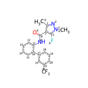 Cc1nn(C)c(F)c1C(=O)Nc1ccccc1-c1cccc(C(F)(F)F)c1